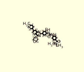 Cc1ccc(-c2cnc3c(N4CCOCC4)nc(-c4ccc(NC(=O)Nc5ccc(C(=O)N(C)C)cc5)c(F)c4)nc3c2)cn1